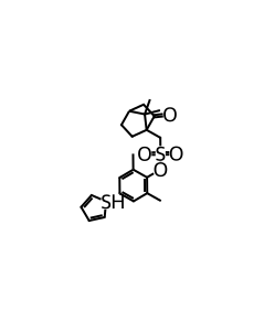 Cc1cc([SH]2C=CC=C2)cc(C)c1OS(=O)(=O)CC12CCC(CC1=O)C2(C)C